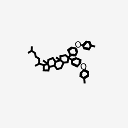 Cc1ccc(Oc2ccc(C3(c4ccc(Oc5ccc(C)cc5)cc4)CCC4(C)C(CCC5C4CCC4(C)C(C(C)CCCC(C)C)CCC54)C3)cc2)cc1